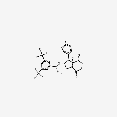 C[C@@H](O[C@H]1CN2C(=O)CCC(=O)[C@H]2[C@@H]1c1ccc(F)cc1)c1cc(C(F)(F)F)cc(C(F)(F)F)c1